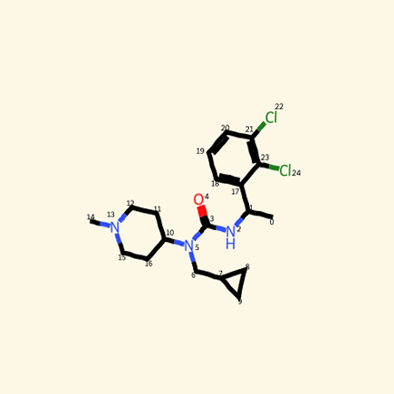 CC(NC(=O)N(CC1CC1)C1CCN(C)CC1)c1cccc(Cl)c1Cl